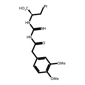 COc1ccc(CC(=O)NC(=N)N[C@H](CC(C)C)C(=O)O)cc1OC